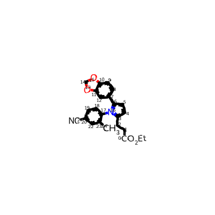 CCOC(=O)CCc1ccc(-c2ccc3c(c2)OCO3)n1-c1ccc(C#N)cc1C